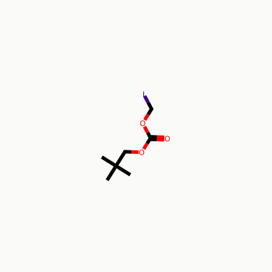 CC(C)(C)COC(=O)OCI